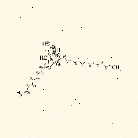 CCCCCCCCCCCCCCCCC(CCCCCCCCCCC)(C(=O)O)C(O)(CC(=O)O)C(=O)O